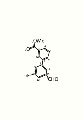 COC(=O)c1cccc(-c2cc(F)cc(C=O)c2)c1